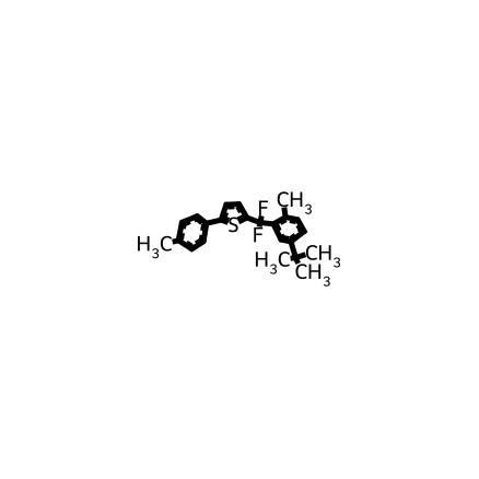 Cc1ccc(-c2ccc(C(F)(F)c3cc(C(C)(C)C)ccc3C)s2)cc1